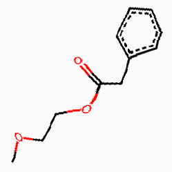 COCCOC(=O)Cc1ccccc1